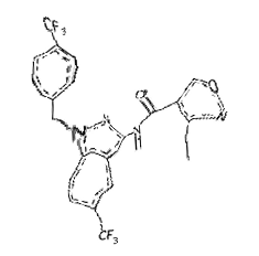 Cc1nocc1C(=O)Nc1nn(Cc2ccc(C(F)(F)F)cc2)c2ccc(C(F)(F)F)cc12